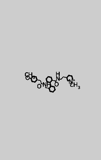 COc1ccc(CC(=O)NCc2ccccc2-c2ccccc2C(=O)NCCc2ccc[n+](C)c2)cc1